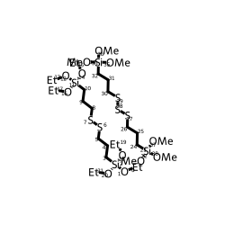 CCO[Si](CCCSSCCC[Si](OCC)(OCC)OCC)(OCC)OCC.CO[Si](CCCSSSCCC[Si](OC)(OC)OC)(OC)OC